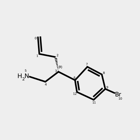 C=CC[C@@H](CN)c1ccc(Br)cc1